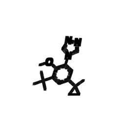 COc1c(-n2cnnc2)cc(C2(C)CC2)cc1C(C)(C)C